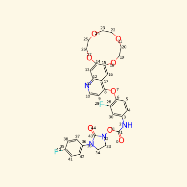 O=C(Nc1ccc(Oc2ccnc3cc4c(cc23)OCCOCCOCCO4)c(F)c1)ON1CCN(c2ccc(F)cc2)C1=O